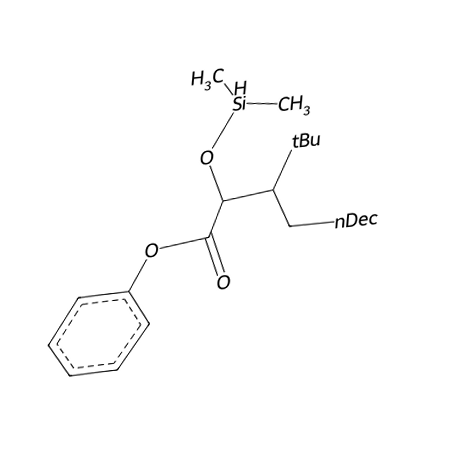 CCCCCCCCCCCC(C(O[SiH](C)C)C(=O)Oc1ccccc1)C(C)(C)C